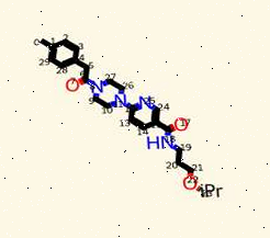 Cc1ccc(CC(=O)N2CCN(c3ccc(C(=O)NCCCOC(C)C)cn3)CC2)cc1